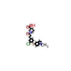 Cn1ccc2cc(Sc3ccc(C=CC(=O)N4CCCC(C(=O)O)C4)cc3Cl)ccc21